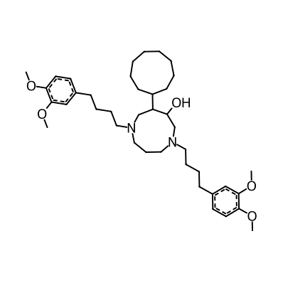 COc1ccc(CCCCN2CCCN(CCCCc3ccc(OC)c(OC)c3)CC(C3CCCCCCCC3)C(O)C2)cc1OC